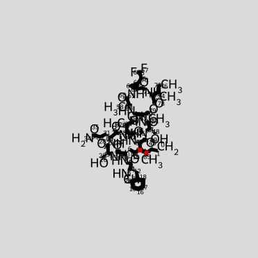 C=CCCCCC[C@H](NC(=O)[C@@H](Cc1ccccc1)NC)C(=O)N[C@@H](CO)C(=O)N[C@H](CCC(N)=O)C(=O)N[C@@H](C(=O)N[C@H](C(=O)N[C@@H](CO)C(=O)N[C@H]1C(=O)N[C@@H](C)C(=O)NC2(CC2CC(F)F)C(=O)N[C@@H]([C@@H](C)CC)C(=O)O[C@H]1C)[C@@H](C)CC)[C@@H](C)CC